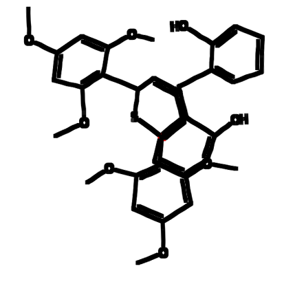 COc1cc(OC)c(C(C=Cc2ccccc2O)SC(/C=C\c2ccccc2O)c2c(OC)cc(OC)cc2OC)c(OC)c1